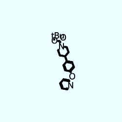 CC(C)(C)OC(=O)N1CCC(c2ccc(Oc3ccccn3)cc2)CC1